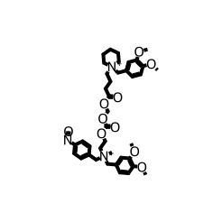 COc1ccc(C[N+](C)(CCOC(=O)OCOC(=O)CCC[N+]2(Cc3ccc(OC)c(OC)c3)CCCCC2)Cc2ccc(N=O)cc2)cc1OC